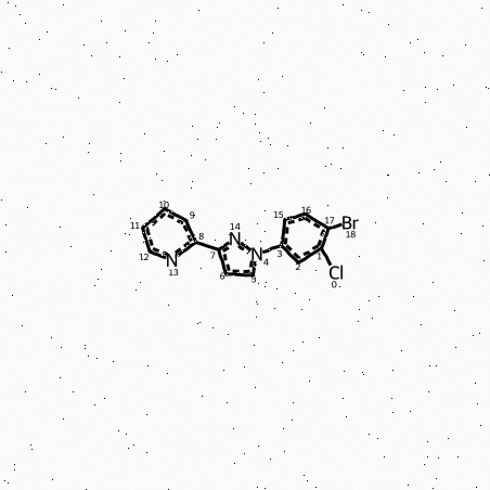 Clc1cc(-n2ccc(-c3ccccn3)n2)ccc1Br